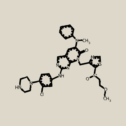 COCC[S+]([O-])c1scnc1Cn1c(=O)c(N(C)c2ccccc2)cc2cnc(Nc3ccc(N4CCNCC4)c(Cl)c3)nc21